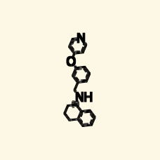 c1cc(CN[C@H]2CCCc3ccccc32)cc(Oc2ccncc2)c1